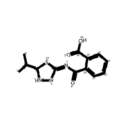 CC(C)C1N[N]C(=NC(=O)c2ccccc2C(=O)O)S1